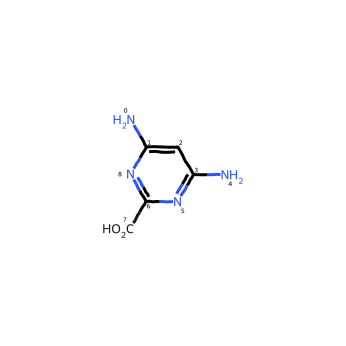 Nc1cc(N)nc(C(=O)O)n1